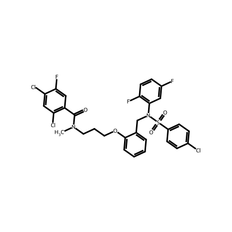 CN(CCCOc1ccccc1CN(c1cc(F)ccc1F)S(=O)(=O)c1ccc(Cl)cc1)C(=O)c1cc(F)c(Cl)cc1Cl